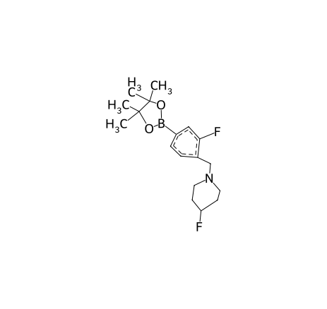 CC1(C)OB(c2ccc(CN3CCC(F)CC3)c(F)c2)OC1(C)C